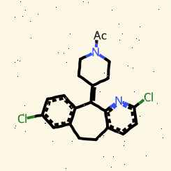 CC(=O)N1CCC(=C2c3ccc(Cl)cc3CCc3ccc(Cl)nc32)CC1